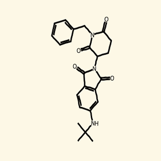 CC(C)(C)Nc1ccc2c(c1)C(=O)N(C1CCC(=O)N(Cc3ccccc3)C1=O)C2=O